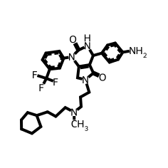 CN(CCCC1CCCCC1)CCCN1CC2=C(C1=O)C(c1ccc(N)cc1)NC(=O)N2c1cccc(C(F)(F)F)c1